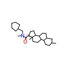 CC1CCC2C(CCC3C2CCC2(C)C3CC[C@@H]2C(=O)N(C)CC2CCCCC2)C1